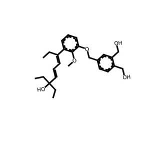 CCC(=CC=CC(O)(CC)CC)c1cccc(OCc2ccc(CO)c(CO)c2)c1OC